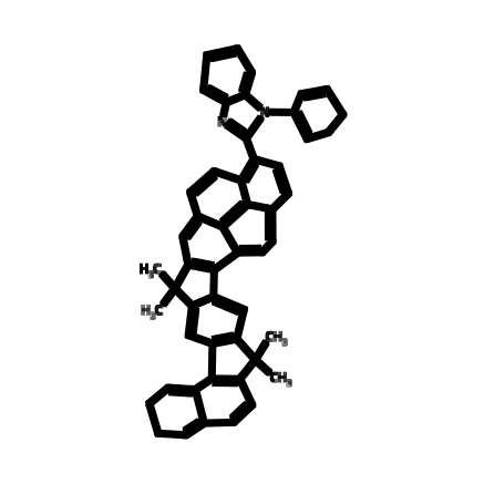 CC1(C)c2cc3c(cc2-c2c1ccc1c2=CCCC=1)C(C)(C)c1cc2ccc4c(-c5nc6ccccc6n5C5=CCCC=C5)ccc5ccc(c1-3)c2c54